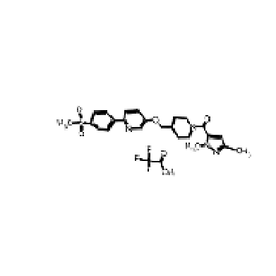 Cc1cc(C(=O)N2CCC(COc3ccc(-c4ccc(S(C)(=O)=O)cc4)nc3)CC2)n(C)n1.O=C(O)C(F)(F)F